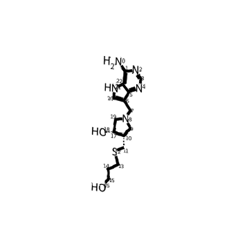 Nc1ncnc2c(CN3C[C@H](CSCCCO)[C@H](O)C3)c[nH]c12